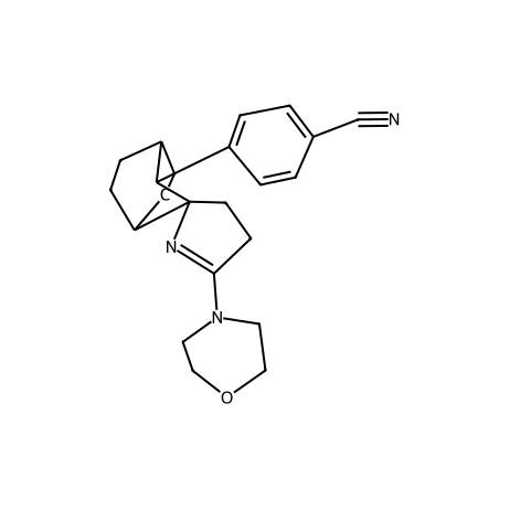 N#Cc1ccc(C2C3CCC(CC3)C23CCC(N2CCOCC2)=N3)cc1